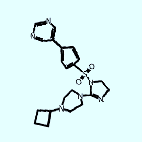 O=S(=O)(c1ccc(-c2cncnc2)cc1)N1CCN=C1N1CCN(C2CCC2)CC1